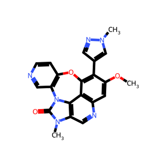 COc1cc2ncc3c4c2c(oc2ccncc2n4c(=O)n3C)c1-c1cnn(C)c1